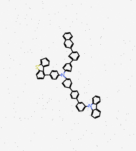 c1cc(-c2ccc(N(c3ccc(-c4ccc(-c5cccc(-n6c7ccccc7c7ccccc76)c5)cc4)cc3)c3ccc(-c4cccc5sc6ccccc6c45)cc3)cc2)cc(-c2ccc3ccccc3c2)c1